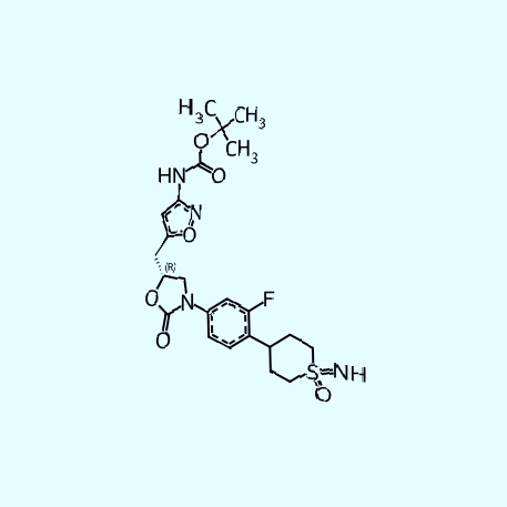 CC(C)(C)OC(=O)Nc1cc(C[C@@H]2CN(c3ccc(C4CCS(=N)(=O)CC4)c(F)c3)C(=O)O2)on1